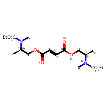 CCOC(=O)N(C)[C@H](C)COC(=O)/C=C/C(=O)OC[C@@H](C)N(C)C(=O)OCC